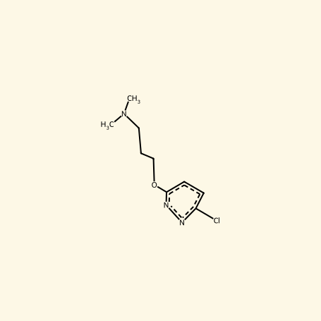 CN(C)CCCOc1ccc(Cl)nn1